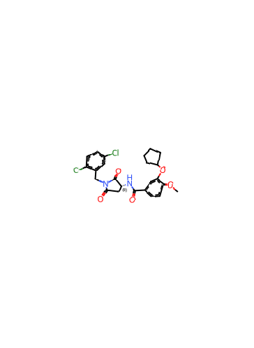 COc1ccc(C(=O)N[C@@H]2CC(=O)N(Cc3cc(Cl)ccc3Cl)C2=O)cc1OC1CCCC1